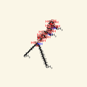 CCCCCCCCCCCCC/C=C/[C@@H](O)[C@H](CO[C@@H]1OC(CO)[C@@H](O[C@@H]2OC(CO)[C@H](O[C@@H]3OC(CO)[C@H](O)[C@H](O[C@@H]4OC(CO)[C@H](O)[C@H](O[C@@H]5OC(CO)[C@@H](O[C@@H]6OC(CO)[C@H](O)[C@H](O)C6O)[C@H](O)C5NC(C)=O)C4O)C3NC(C)=O)[C@H](O)C2O)[C@H](O)C1O)NC(=O)CCCCCCCCCCCCCCCCCCCCCCC